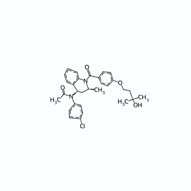 CC(=O)N(c1ccc(Cl)cc1)[C@@H]1C[C@H](C)N(C(=O)c2ccc(OCCC(C)(C)O)cc2)c2ccccc21